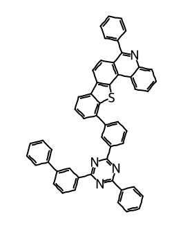 c1ccc(-c2cccc(-c3nc(-c4ccccc4)nc(-c4cccc(-c5cccc6c5sc5c6ccc6c(-c7ccccc7)nc7ccccc7c65)c4)n3)c2)cc1